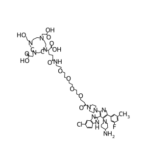 Cc1cc(F)cc(-c2cnc(N3CCN(C(=O)CCOCCOCCOCCOCCNC(=O)CCC(C(=O)O)N4CCN(CC(=O)O)CCN(CCO)CCN(CC(=O)O)CC4)CC3)c(-c3nc4cc(Cl)ccc4[nH]3)c2N2CCC(N)CC2)c1